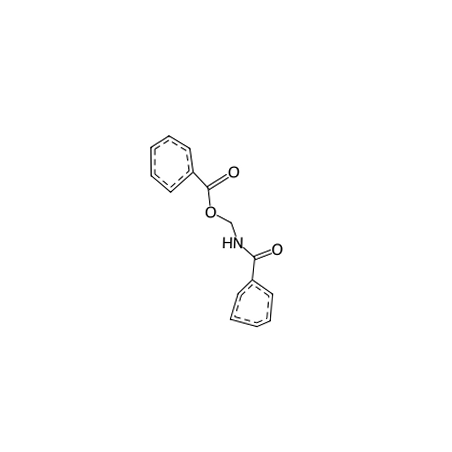 O=C(NCOC(=O)c1ccccc1)c1ccccc1